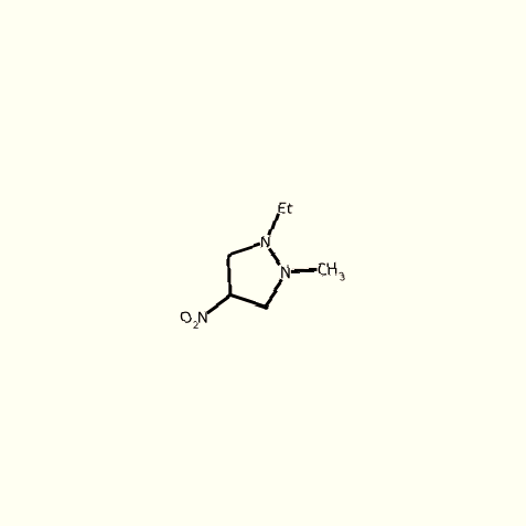 CCN1CC([N+](=O)[O-])CN1C